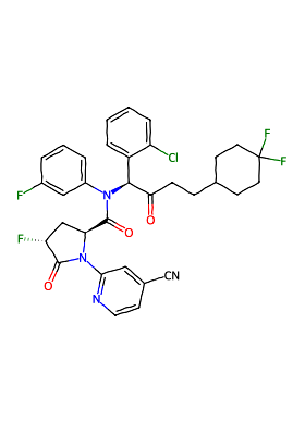 N#Cc1ccnc(N2C(=O)[C@H](F)C[C@H]2C(=O)N(c2cccc(F)c2)[C@H](C(=O)CCC2CCC(F)(F)CC2)c2ccccc2Cl)c1